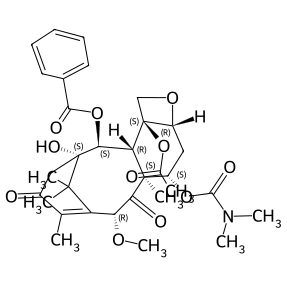 CO[C@H]1C(=O)[C@]2(C)[C@@H](OC(=O)N(C)C)C[C@H]3OC[C@@]3(OC(C)=O)[C@H]2[C@H](OC(=O)c2ccccc2)[C@]2(O)CC(=O)C(C)=C1C2(C)C